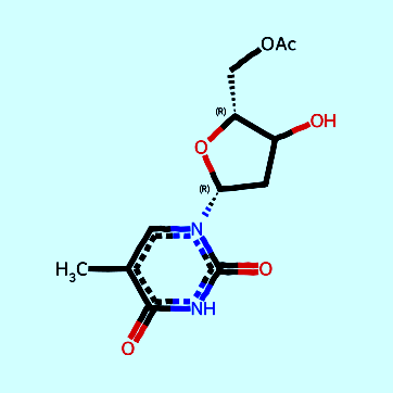 CC(=O)OC[C@H]1O[C@@H](n2cc(C)c(=O)[nH]c2=O)CC1O